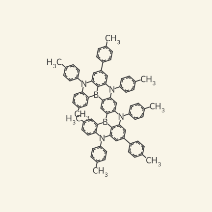 Cc1ccc(-c2cc3c4c(c2)N(c2ccc(C)cc2)c2cc5c(cc2B4c2cc(C)ccc2N3c2ccc(C)cc2)B2c3cc(C)ccc3N(c3ccc(C)cc3)c3cc(-c4ccc(C)cc4)cc(c32)N5c2ccc(C)cc2)cc1